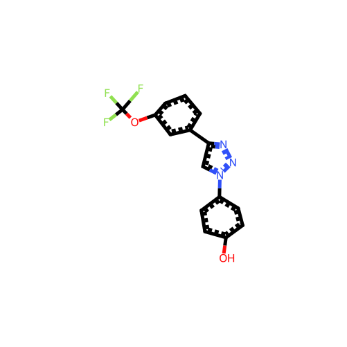 Oc1ccc(-n2cc(-c3cccc(OC(F)(F)F)c3)nn2)cc1